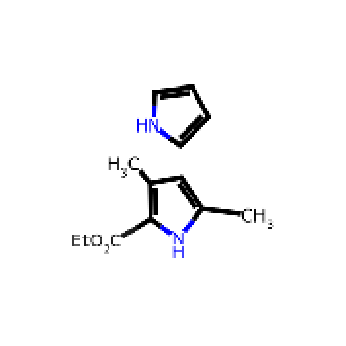 CCOC(=O)c1[nH]c(C)cc1C.c1cc[nH]c1